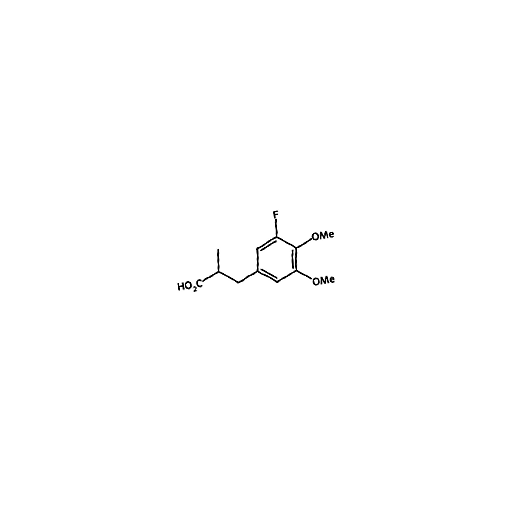 COc1cc(CC(C)C(=O)O)cc(F)c1OC